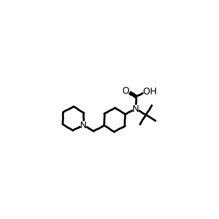 CC(C)(C)N(C(=O)O)C1CCC(CN2CCCCC2)CC1